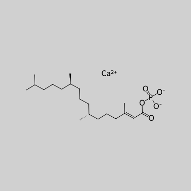 C/C(=C\C(=O)OP(=O)([O-])[O-])CCC[C@H](C)CCC[C@H](C)CCCC(C)C.[Ca+2]